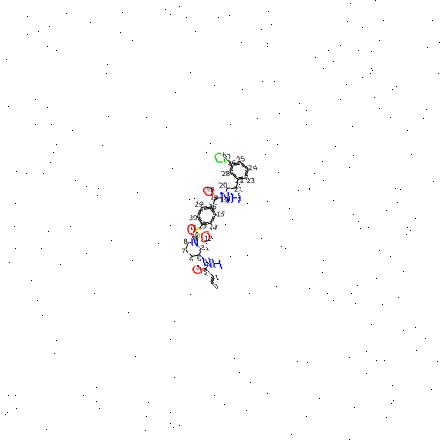 C=CC(=O)N[C@H]1CCCN(S(=O)(=O)c2ccc(C(=O)NCCc3cccc(Cl)c3)cc2)C1